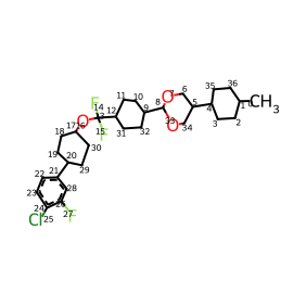 CC1CCC(C2COC(C3CCC(C(F)(F)OC4CCC(c5ccc(Cl)c(F)c5)CC4)CC3)OC2)CC1